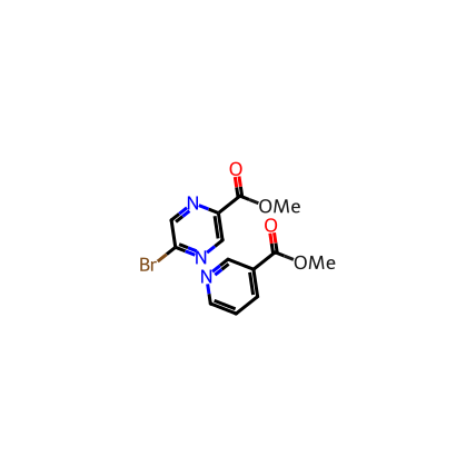 COC(=O)c1cccnc1.COC(=O)c1cnc(Br)cn1